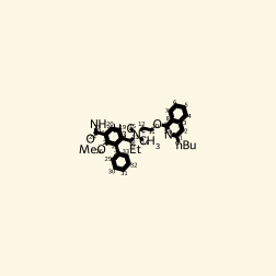 CCCCc1cc2ccccc2c(OCC[N+](C)(C)[C@H](CC)c2ccc(C(N)=O)c(OC)c2-c2ccccc2)n1